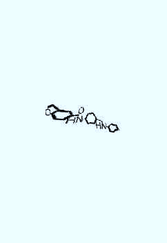 O=C(N[C@H]1CC[C@H](CNc2ccccc2)CC1)c1ccc2occc2c1